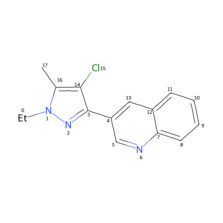 CCn1nc(-c2cnc3ccccc3c2)c(Cl)c1C